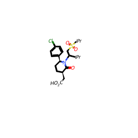 CC(C)C(CS(=O)(=O)C(C)C)N1C(=O)[C@@H](CC(=O)O)CC[C@H]1c1ccc(Cl)cc1